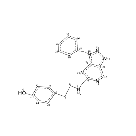 Oc1ccc(CCNc2ncc3nnn(-c4ccccc4)c3n2)cc1